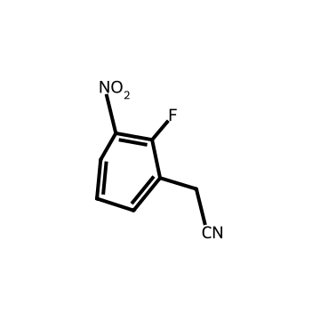 N#CCc1cccc([N+](=O)[O-])c1F